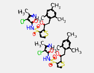 Cc1cc(C)c(CC(=O)c2sccc2S(=O)(=O)Nc2onc(C)c2Cl)c(C)c1.Cc1cc(C)c(CC(=O)c2sccc2S(=O)(=O)Nc2onc(C)c2Cl)c(C)c1